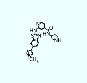 Cn1cc(-c2ccc3nc(Nc4cc(C(=O)NC5CCNC5)ccn4)sc3c2)cn1